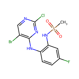 CS(=O)(=O)Nc1cc(F)ccc1Nc1nc(Cl)ncc1Br